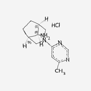 Cc1cc(N2C[C@H]3CC[C@@H](C2)[C@H]3N)ncn1.Cl